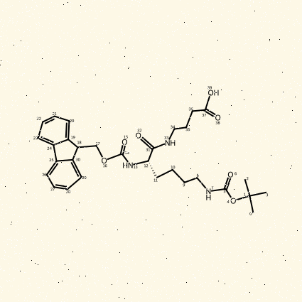 CC(C)(C)OC(=O)NCCCC[C@H](NC(=O)OCC1c2ccccc2-c2ccccc21)C(=O)NCCCC(=O)O